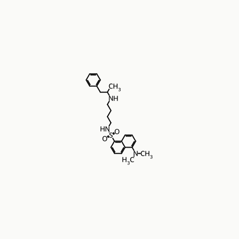 CC(Cc1ccccc1)NCCCCNS(=O)(=O)c1cccc2c(N(C)C)cccc12